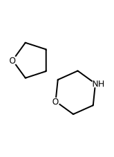 C1CCOC1.C1COCCN1